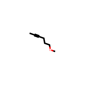 CC#CCCCOC